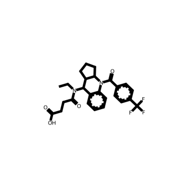 CCN(C(=O)CCC(=O)O)C1c2ccccc2N(C(=O)c2ccc(C(F)(F)F)cc2)C2CCCC12